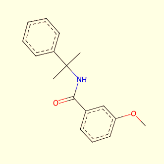 COc1cccc(C(=O)NC(C)(C)c2ccccc2)c1